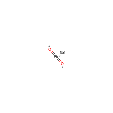 [O]=[Pb]=[O].[Sb]